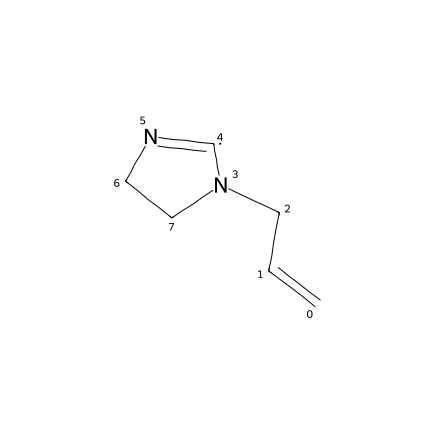 C=CCN1[C]=NCC1